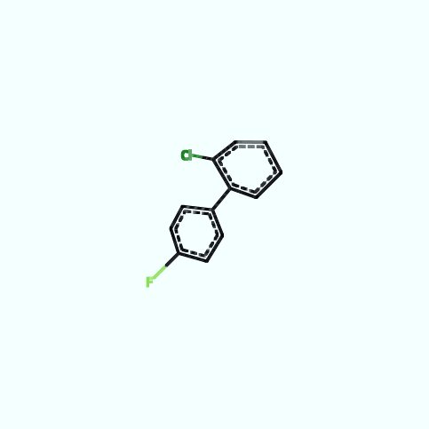 Fc1ccc(-c2ccccc2Cl)cc1